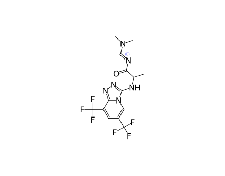 CC(Nc1nnc2c(C(F)(F)F)cc(C(F)(F)F)cn12)C(=O)/N=C/N(C)C